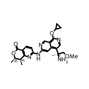 COC[C@@](C)(N)c1cnc(OC2CC2)c2cnc(Nc3ccc4c(n3)[C@@H](C)[C@@H](C)OC4=O)cc12